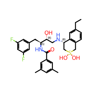 CCc1ccc2c(c1)[C@@H](NC[C@@H](O)[C@H](Cc1cc(F)cc(F)c1)NC(=O)c1cc(C)cc(C)c1)CS(O)(O)C2